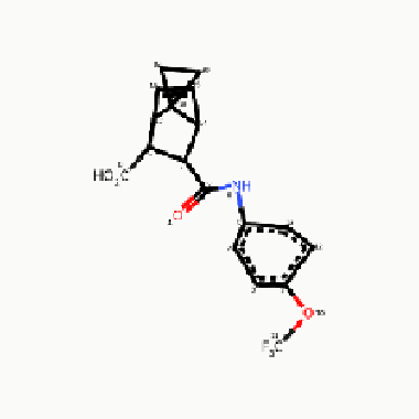 O=C(O)C1C(C(=O)Nc2ccc(OC(F)(F)F)cc2)C2C=CC1C21CC1